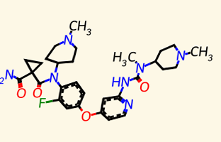 CN1CCC(N(C)C(=O)Nc2cc(Oc3ccc(N(C(=O)C4(C(N)=O)CC4)C4CCN(C)CC4)c(F)c3)ccn2)CC1